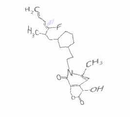 C=C/C=C(/F)C(C)CC1CCCC(CCn2c(C)cc3c(c2=O)COC(=O)C3O)C1